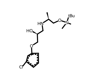 C[C@@H](CO[Si](C)(C)C(C)(C)C)NC[C@H](O)COc1cccc(Cl)c1